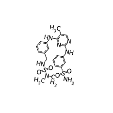 Cc1cnc(Nc2cccc(S(N)(=O)=O)c2)nc1Nc1cccc(CNS(=O)(=O)N(C)C)c1